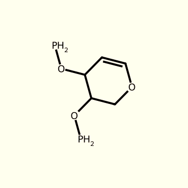 POC1C=COCC1OP